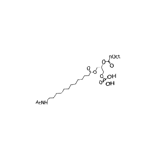 CCCCCCCCC(=O)O[C@@H](COC(=O)CCCCCCCCCCCCNC(C)=O)COP(=O)(O)O